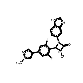 Cn1cc(-c2cc(F)c(C3[C@H](O)C(=O)N3c3ccc4[nH]cnc4c3)c(F)c2)cn1